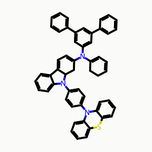 C1=CCCC(N(C2=CC=C3c4ccccc4N(c4ccc(N5c6ccccc6Sc6ccccc65)cc4)C3C2)c2cc(-c3ccccc3)cc(-c3ccccc3)c2)=C1